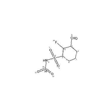 O=CC1CCCC(S(=O)(=O)N[SH](=O)=O)C1F